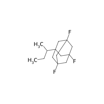 CCC(C)C12CC3(F)CC(F)(CC(F)(C3)C1)C2